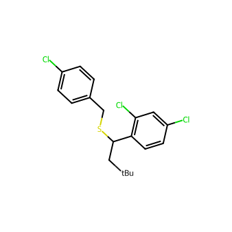 CC(C)(C)CC(SCc1ccc(Cl)cc1)c1ccc(Cl)cc1Cl